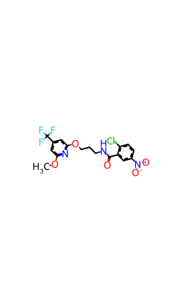 COc1cc(C(F)(F)F)cc(OCCCNC(=O)c2cc([N+](=O)[O-])ccc2Cl)n1